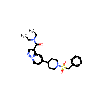 CCN(CC)C(=O)c1cnn2ccc(C3CCN(S(=O)(=O)Cc4ccccc4)CC3)cc12